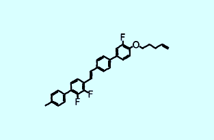 C=CCCCOc1ccc(-c2ccc(/C=C/c3ccc(-c4ccc(C)cc4)c(F)c3F)cc2)cc1F